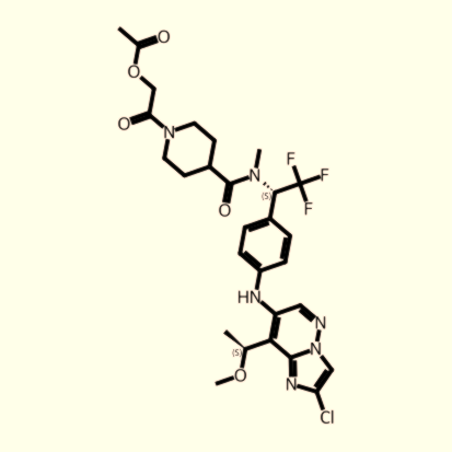 CO[C@@H](C)c1c(Nc2ccc([C@H](N(C)C(=O)C3CCN(C(=O)COC(C)=O)CC3)C(F)(F)F)cc2)cnn2cc(Cl)nc12